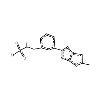 CCS(=O)(=O)NCc1cccc(-c2cn3cc(C)sc3n2)c1